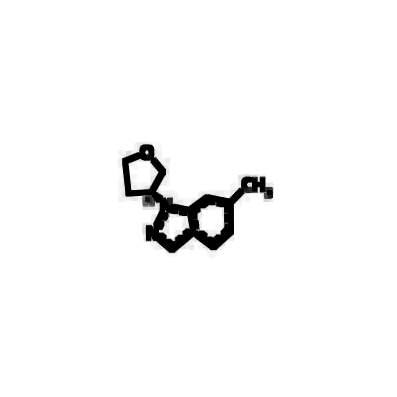 Cc1ccc2cnn([C@H]3CCOC3)c2c1